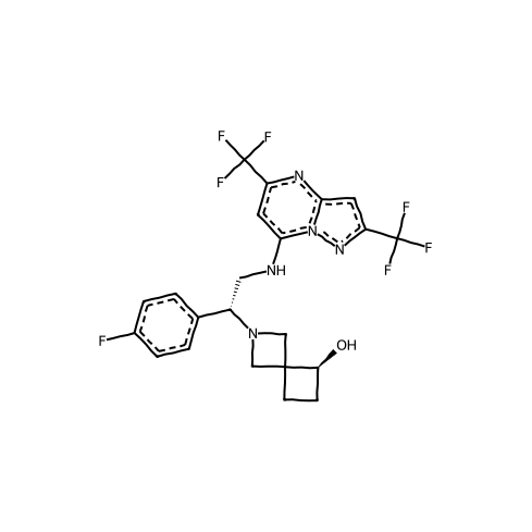 O[C@H]1CCC12CN([C@@H](CNc1cc(C(F)(F)F)nc3cc(C(F)(F)F)nn13)c1ccc(F)cc1)C2